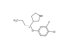 CCC[C@@H](Oc1ccc(Cl)c(F)c1)C1CCNC1